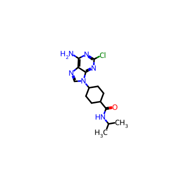 CC(C)NC(=O)C1CCC(n2cnc3c(N)nc(Cl)nc32)CC1